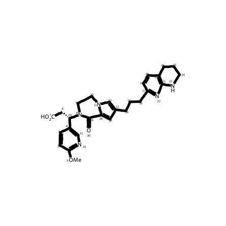 COc1ccc([C@H](CC(=O)O)N2CCn3cc(CCCc4ccc5c(n4)NCCC5)cc3C2=O)cn1